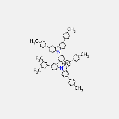 Cc1ccc(-c2ccc3c(c2)c2cc(-c4ccc(C)cc4)ccc2n3-c2ccc(C#N)c(-c3cc(-c4cc(C(F)(F)F)cc(C(F)(F)F)c4)ccc3-n3c4ccc(-c5ccc(C)cc5)cc4c4cc(-c5ccc(C)cc5)ccc43)c2)cc1